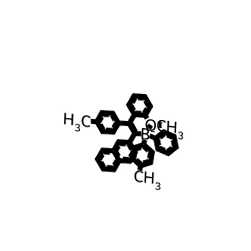 Cc1ccc(C2=C(c3ccc4ccccc4c3)[B-](c3ccccc3)(c3ccc(C)cc3)[O+](C)c3ccccc32)cc1